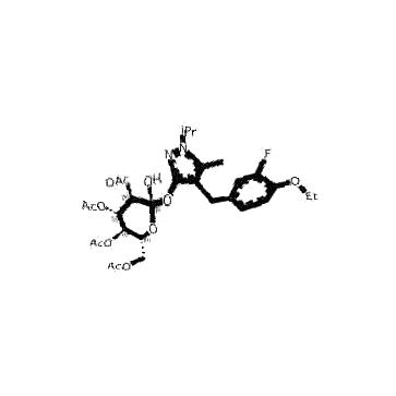 CCOc1ccc(Cc2c(O[C@]3(O)O[C@H](COC(C)=O)[C@@H](OC(C)=O)[C@H](OC(C)=O)[C@H]3OC(C)=O)nn(C(C)C)c2C)cc1F